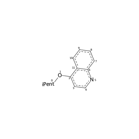 CCCC(C)Oc1ccnc2ccccc12